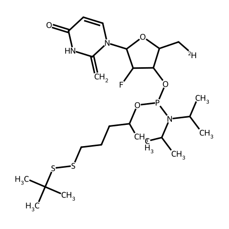 [2H]CC1OC(N2C=CC(=O)NC2=C)C(F)C1OP(OC(C)CCCSSC(C)(C)C)N(C(C)C)C(C)C